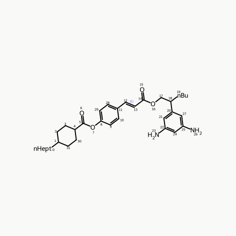 CCCCCCCC1CCC(C(=O)Oc2ccc(/C=C/C(=O)OCC(CCCC)c3cc(N)cc(N)c3)cc2)CC1